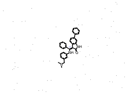 CN(C)Cc1cccc(N/C(=C2\C(=O)Nc3cc(-c4ccccc4)ccc32)c2ccccc2)c1